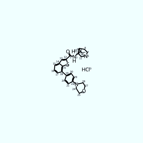 Cl.O=C(N[C@@H]1CN2CCC1CC2)c1cc2cccc(-c3ccc(N4CCOCC4)cc3)c2s1